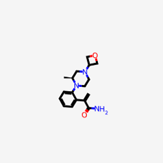 C=C(C(N)=O)c1ccccc1N1CCN(C2COC2)C[C@@H]1C